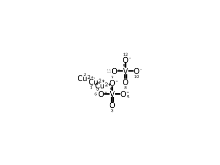 [Cu+2].[Cu+2].[Cu+2].[O]=[V]([O-])([O-])[O-].[O]=[V]([O-])([O-])[O-]